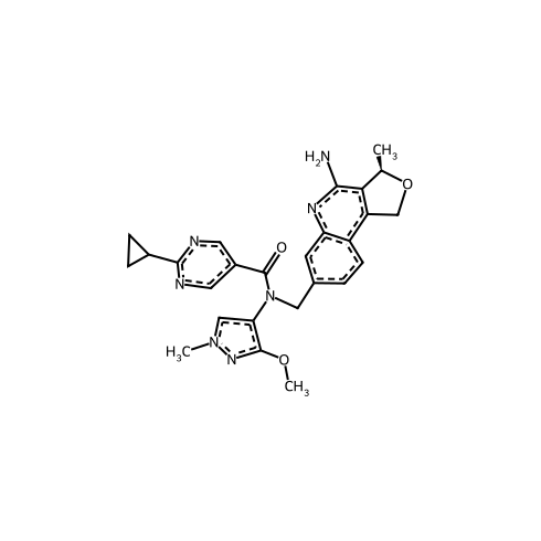 COc1nn(C)cc1N(Cc1ccc2c3c(c(N)nc2c1)[C@@H](C)OC3)C(=O)c1cnc(C2CC2)nc1